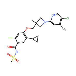 CC1(COc2cc(F)c(C(=O)NS(C)(=O)=O)cc2C2CC2)CN(c2cc(C(F)(F)F)c(Cl)cn2)C1